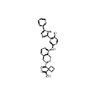 O=C(O)C1(C(=O)N2CCc3c(cccc3Nc3ccc(Cl)c(-c4ncc(-c5ccccc5)[nH]4)c3)C2)CCC1